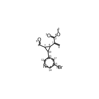 C=C(C(=O)OC)C1C(C=O)C1c1cncc(Br)c1